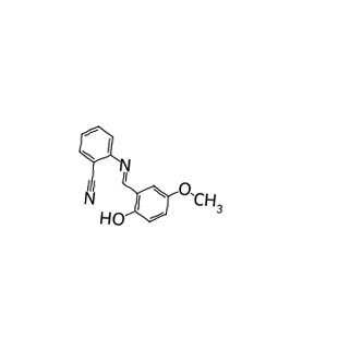 COc1ccc(O)c(/C=N/c2ccccc2C#N)c1